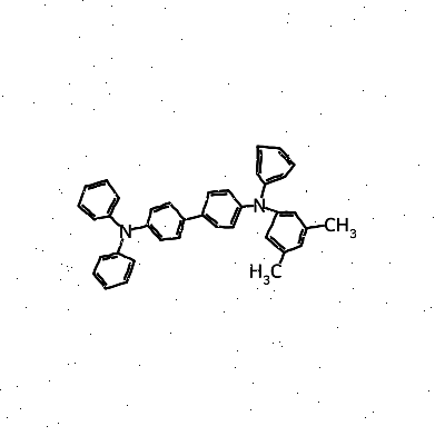 Cc1cc(C)cc(N(c2ccccc2)c2ccc(-c3ccc(N(c4ccccc4)c4ccccc4)cc3)cc2)c1